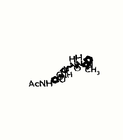 CC(=O)Nc1ccc(S(=O)(=O)NC2CCN(CCNC(=O)Nc3cc(C)nc4ccccc34)C2)cc1